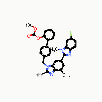 CCCc1nc2c(C)cc(-c3nc4ccc(F)cc4n3C)cc2n1Cc1ccc(-c2ccccc2OC(=O)OC(C)(C)C)cc1